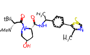 CN[C@@H](C(=O)N1C[C@H](O)C[C@H]1C(=O)N[C@@H](C)c1ccc(-c2scnc2C)cc1)C(C)(C)C